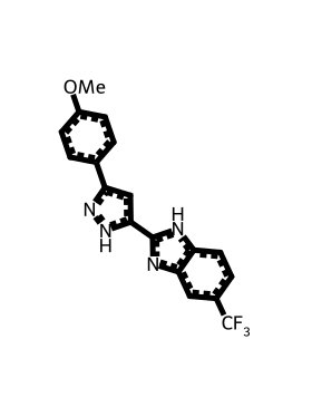 COc1ccc(-c2cc(-c3nc4cc(C(F)(F)F)ccc4[nH]3)[nH]n2)cc1